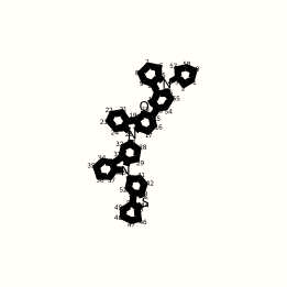 c1ccc(-n2c3ccccc3c3c4oc5c(ccc6c5c5ccccc5n6-c5ccc6c(c5)c5ccccc5n6-c5ccc6sc7ccccc7c6c5)c4ccc32)cc1